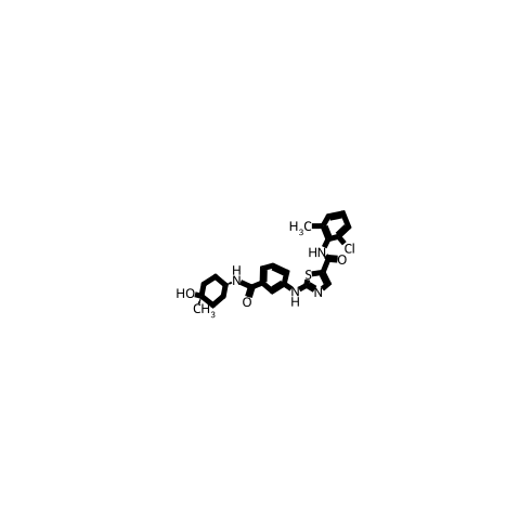 Cc1cccc(Cl)c1NC(=O)c1cnc(Nc2cccc(C(=O)N[C@H]3CC[C@](C)(O)CC3)c2)s1